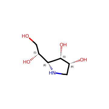 OC[C@@H](O)[C@H]1NC[C@@H](O)[C@H]1O